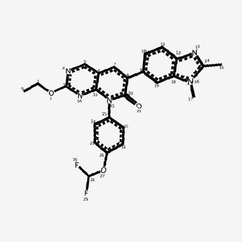 CCOc1ncc2cc(-c3ccc4nc(C)n(C)c4c3)c(=O)n(-c3ccc(OC(F)F)cc3)c2n1